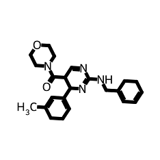 CC1=CC(C2N=C(NCC3=CC=CCC3)N=CC2C(=O)N2CCOCC2)=CCC1